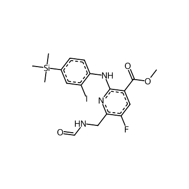 COC(=O)c1cc(F)c(CNC=O)nc1Nc1ccc([Si](C)(C)C)cc1I